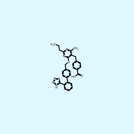 CCCc1nc(C)c(Cc2ccc(C(=O)O)cc2)c(OCc2ccc(-c3ccccc3-c3nnn[nH]3)cc2)n1